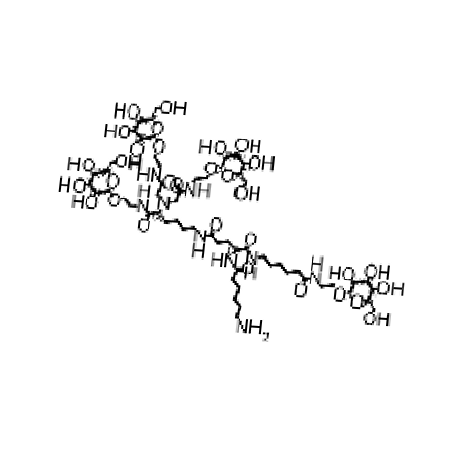 NCCCCCC(=O)N[C@@H](CCC(=O)NCCCC[C@@H](C(=O)NCCO[C@H]1O[C@H](CO)[C@@H](O)[C@H](O)[C@@H]1O)N(CC(=O)NCCO[C@H]1O[C@H](CO)[C@@H](O)[C@H](O)[C@@H]1O)CC(=O)NCCO[C@H]1O[C@H](CO)[C@@H](O)[C@H](O)[C@@H]1O)C(=O)NCCCCCC(=O)NCCO[C@H]1O[C@H](CO)[C@@H](O)[C@H](O)[C@@H]1O